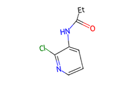 CCC(=O)Nc1cccnc1Cl